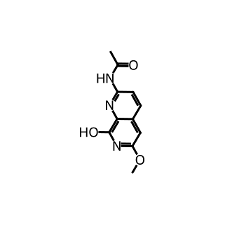 COc1cc2ccc(NC(C)=O)nc2c(O)n1